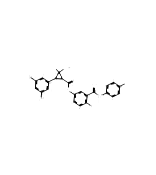 O=C(Nc1ccc(F)cc1)c1cc(NC(=O)C2C(c3cc(Cl)cc(Cl)c3)C2(F)F)ccc1Cl